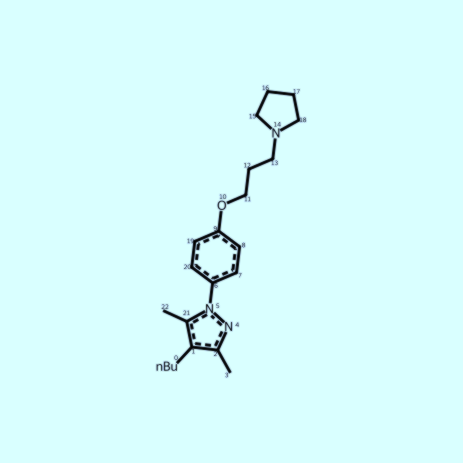 CCCCc1c(C)nn(-c2ccc(OCCCN3CCCC3)cc2)c1C